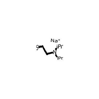 CC(C)N(CC[S-])C(C)C.[Na+]